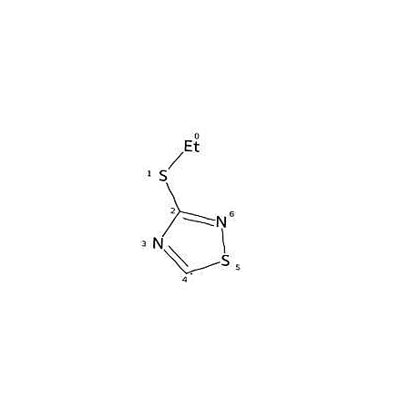 CCSc1n[c]sn1